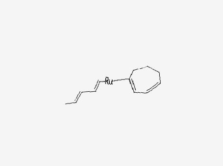 CC=CC=[CH][Ru][C]1=CC=CCCC1